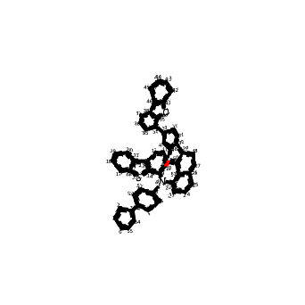 c1ccc(-c2ccc(N(c3cccc4c3sc3ccccc34)c3cccc4ccc5c6ccc(-c7cccc8c7oc7ccccc78)cc6sc5c34)cc2)cc1